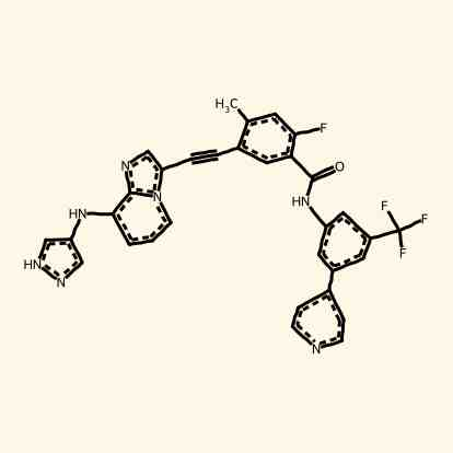 Cc1cc(F)c(C(=O)Nc2cc(-c3ccncc3)cc(C(F)(F)F)c2)cc1C#Cc1cnc2c(Nc3cn[nH]c3)cccn12